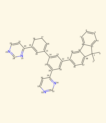 CC1(C)c2ccccc2-c2cc(-c3cc(C4=CCCC(c5ccncn5)=C4)cc(-c4ccncn4)c3)ccc21